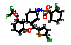 O=S(=O)(Nc1ccc2c(c1)C(c1ccc(Br)s1)Oc1cccc(OC(F)F)c1-2)c1ccccc1F